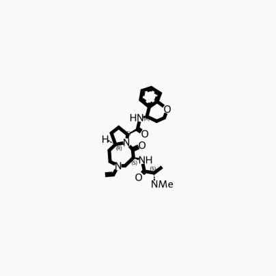 C=CN1CC[C@H]2CC[C@@H](C(=O)N[C@@H]3CCOc4ccccc43)N2C(=O)[C@@H](NC(=O)[C@H](C)NC)C1